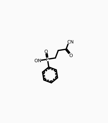 N#CC(=O)CCP(=O)(N=O)c1ccccc1